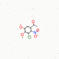 COc1cc(C(C)=O)c([N+](=O)[O-])c(Cl)c1OC